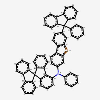 c1ccc(N(c2ccc3c(c2)sc2cc(C4(c5ccccc5)c5ccccc5-c5ccccc54)ccc23)c2cccc3c2-c2ccccc2C32c3ccccc3-c3ccccc32)cc1